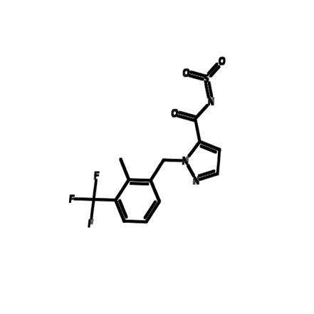 Cc1c(Cn2nccc2C(=O)N=S(=O)=O)cccc1C(F)(F)F